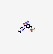 CC(C)N1CCN(C(=O)c2c[c]c(C[SH](=O)=O)cc2[N+](=O)[O-])CC1